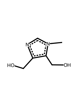 Cn1cnc(CO)c1CO